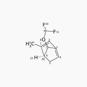 CC1=CC2=CC[C@@H]1C2OC(F)F